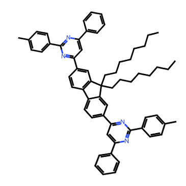 CCCCCCCCC1(CCCCCCCC)c2cc(-c3cc(-c4ccccc4)nc(-c4ccc(C)cc4)n3)ccc2-c2ccc(-c3cc(-c4ccccc4)nc(-c4ccc(C)cc4)n3)cc21